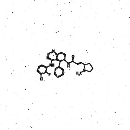 CN1CCCC1C=CC(=O)Nc1ccc2ncnc(Nc3cccc(Cl)c3F)c2c1-c1ccccc1